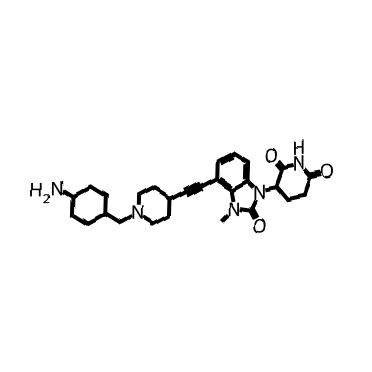 Cn1c(=O)n(C2CCC(=O)NC2=O)c2cccc(C#CC3CCN(CC4CCC(N)CC4)CC3)c21